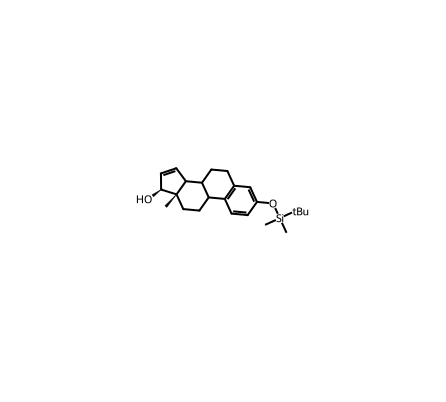 CC(C)(C)[Si](C)(C)Oc1ccc2c(c1)CCC1C2CC[C@@]2(C)C1C=C[C@@H]2O